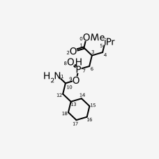 COC(=O)C(CC(C)C)C[PH](=O)OC(N)CC1CCCCC1